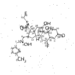 Cc1ccc(CN(O)C[C@@H]2CC3[C@@H]4C[C@H](F)C5=CC(=O)C=C[C@]5(C)[C@@]4(F)[C@@H](O)C[C@]3(C)[C@H]2C(=O)SCF)s1